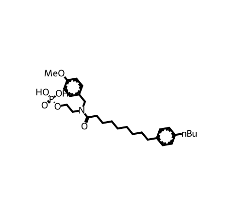 CCCCc1ccc(CCCCCCCCC(=O)N(CCOP(=O)(O)O)Cc2ccc(OC)cc2)cc1